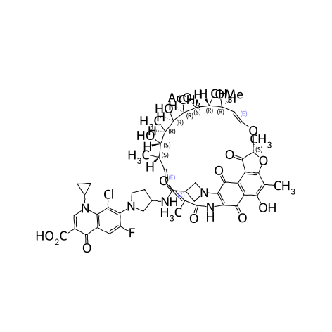 CO[C@H]1/C=C/O[C@@]2(C)Oc3c(C)c(O)c4c(c3C2=O)C(=O)C(N2CC(C(=O)NC3CCN(c5c(F)cc6c(=O)c(C(=O)O)cn(C7CC7)c6c5Cl)C3)C2)=C(NC(=O)/C(C)=C\C=C\[C@H](C)[C@H](O)[C@@H](C)[C@@H](O)[C@@H](C)[C@H](OC(C)=O)[C@@H]1C)C4=O